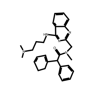 CN(C)CCCNc1nc(CN(C)C(=O)C(C2=CC=CCC2)c2ccccc2)nc2ccccc12